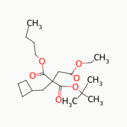 CCCCOC(=O)C(CC(=O)OCC)(CC1CCC1)C(=O)OC(C)(C)C